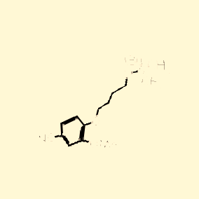 COc1cc(C#N)ccc1OCCCCO[Si](C)(C)C(C)(C)C